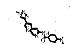 CN(C)C1CCC(C(=O)Nc2cc3cc(-c4cn(C)nn4)cnc3cn2)CC1